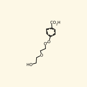 O=C(O)c1ccc(OOCCOCCO)cc1